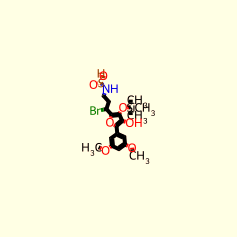 COc1cc(OC)cc(-c2oc(C(Br)CCN[SH](=O)=O)c(O[Si](C)(C)C)c2O)c1